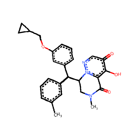 Cc1cccc(C(c2cccc(OCC3CC3)c2)C2CN(C)C(=O)c3c(O)c(=O)cnn32)c1